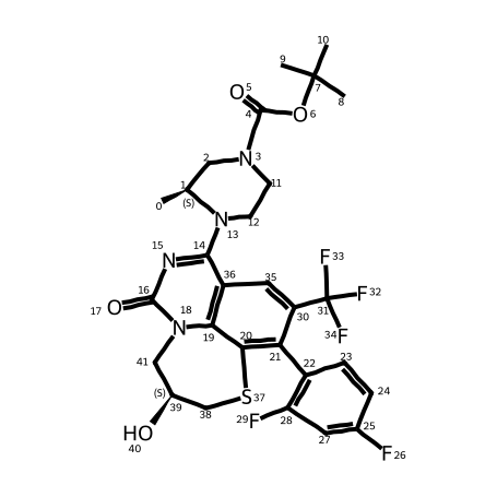 C[C@H]1CN(C(=O)OC(C)(C)C)CCN1c1nc(=O)n2c3c(c(-c4ccc(F)cc4F)c(C(F)(F)F)cc13)SC[C@@H](O)C2